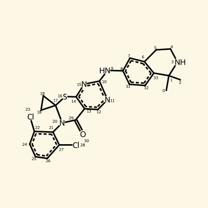 CC1(C)NCCc2cc(Nc3ncc4c(n3)SC3(CC3)N(c3c(Cl)cccc3Cl)C4=O)ccc21